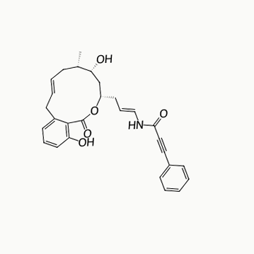 C[C@H]1C/C=C/Cc2cccc(O)c2C(=O)O[C@@H](C/C=C/NC(=O)C#Cc2ccccc2)C[C@H]1O